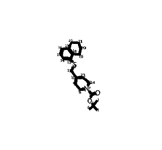 CC(C)(C)OC(=O)N1CCC(CSc2cccc3c2CCCC3)CC1